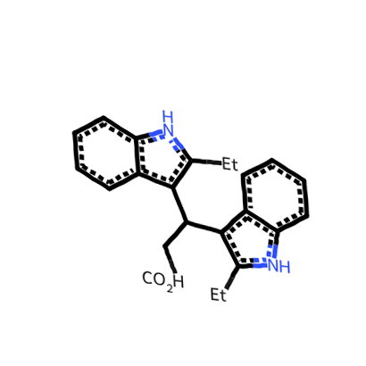 CCc1[nH]c2ccccc2c1C(CC(=O)O)c1c(CC)[nH]c2ccccc12